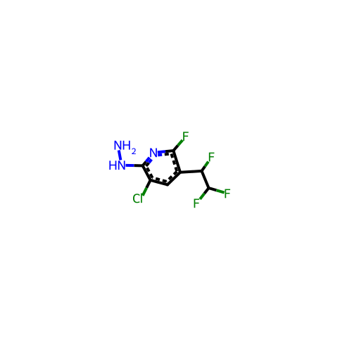 NNc1nc(F)c(C(F)C(F)F)cc1Cl